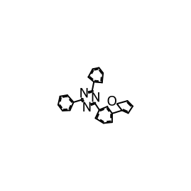 C1=CC2Oc3c(cccc3-c3nc(-c4ccccc4)nc(-c4ccccc4)n3)C2=C1